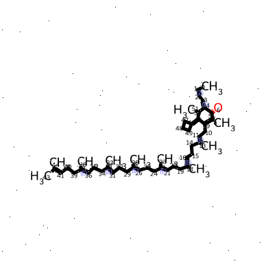 C/C=C\C=C1\C(=O)C(C)=C(C/C=C(\C)CC/C=C(\C)CC/C=C(\C)CC/C=C(\C)CC/C=C(\C)CC/C=C(\C)CCC=C(C)C)C(=C2CCC2)C1C